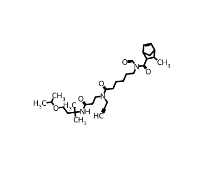 C#CCN(CCC(=O)NC(C)(C)CCOC(C)C)C(=O)CCCCCN(C=O)C(=O)C1C2C=CC(C2)C1C